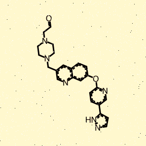 O=CCN1CCN(Cc2cnc3cc(Oc4ccc(-c5ccn[nH]5)cn4)ccc3c2)CC1